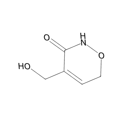 O=C1NOCC=C1CO